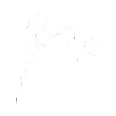 CCCCCCCCn1cc(-c2noc([C@@H]3CCCN3C(=O)O)n2)c2ccccc21